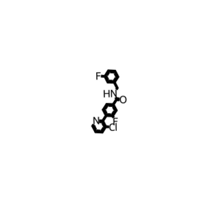 O=C(NCc1cccc(F)c1)c1ccc(-c2ncccc2Cl)c(F)c1